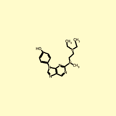 CCN(CC)CCN(C)c1ncc2ncn(-c3ccc(O)cc3)c2n1